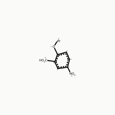 CC(C)Oc1ccc([N+](=O)[O-])cc1C(=O)O